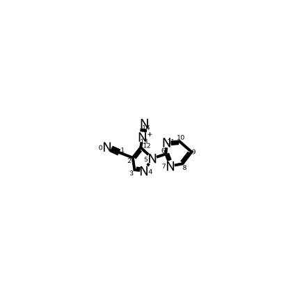 N#Cc1cnn(-c2ncccn2)c1[N+]#N